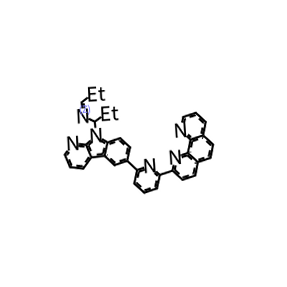 CC/C=N\C(CC)n1c2ccc(-c3cccc(-c4ccc5ccc6cccnc6c5n4)n3)cc2c2cccnc21